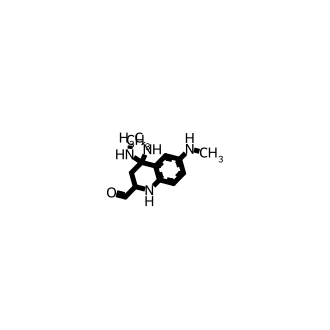 CNc1ccc2c(c1)C(NC)(NC)CC(C=O)N2